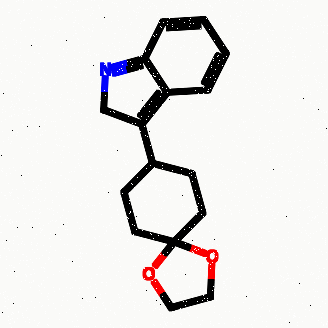 c1ccc2c(c1)=NCC=2C1CCC2(CC1)OCCO2